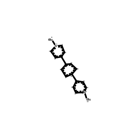 CC(C)(C)[n+]1ccc(-c2ccc(-c3cc[n+](C(C)(C)C)cc3)cc2)cc1